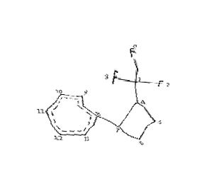 FC(F)(F)C1CC[C]1c1ccccc1